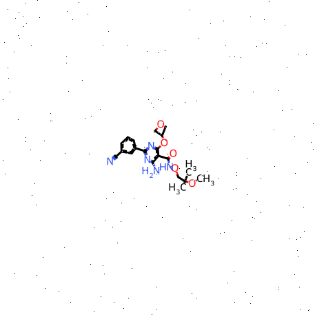 COC(C)(C)CONC(=O)c1c(N)nc(-c2cccc(C#N)c2)nc1OC1COC1